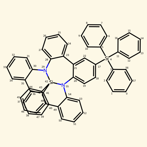 c1ccc([Si](c2ccccc2)(c2ccccc2)c2ccc3c(c2)-c2ccccc2N2c4ccccc4-c4ccccc4[Si]24c2ccccc2-c2ccccc2N34)cc1